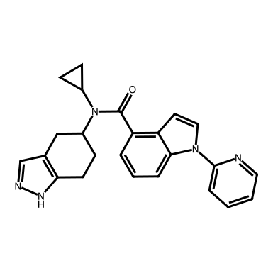 O=C(c1cccc2c1ccn2-c1ccccn1)N(C1CC1)C1CCc2[nH]ncc2C1